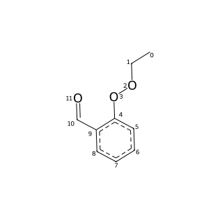 CCOOc1ccccc1C=O